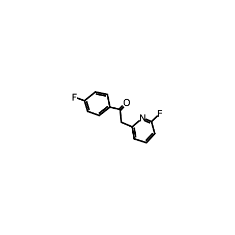 O=C(Cc1cccc(F)n1)c1ccc(F)cc1